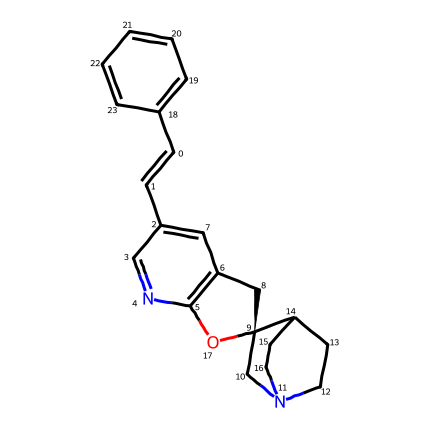 C(=Cc1cnc2c(c1)C[C@@]1(CN3CCC1CC3)O2)c1ccccc1